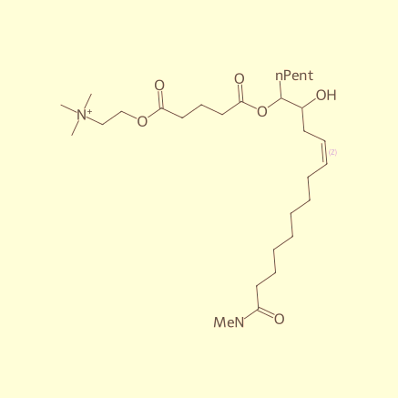 CCCCCC(OC(=O)CCCC(=O)OCC[N+](C)(C)C)C(O)C/C=C\CCCCCCCC(=O)NC